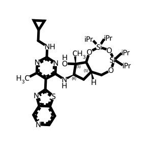 Cc1nc(NCC2CC2)nc(N[C@@H]2C[C@H]3CO[Si](C(C)C)(C(C)C)O[Si](C(C)C)(C(C)C)OC3[C@@]2(C)O)c1-c1nc2cnccc2s1